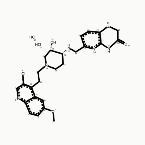 COc1ccc2ncc(Cl)c(CCN3CC[C@@H](NCc4ccc5c(n4)NC(=O)CS5)[C@@H](O)C3)c2c1.Cl.Cl